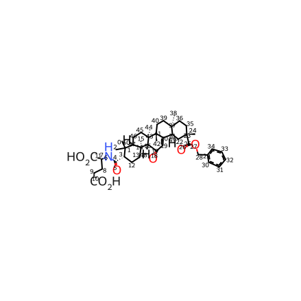 CC1(C)[C@@H](C(=O)N[C@@H](CCC(=O)O)C(=O)O)CC[C@]2(C)[C@H]3C(=O)C=C4[C@@H]5C[C@@](C)(C(=O)OCc6ccccc6)CC[C@]5(C)CC[C@@]4(C)[C@]3(C)CC[C@@H]12